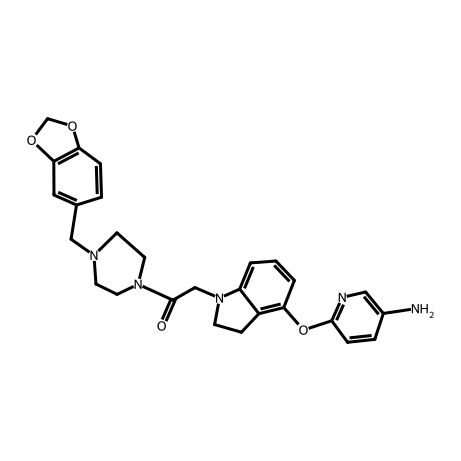 Nc1ccc(Oc2cccc3c2CCN3CC(=O)N2CCN(Cc3ccc4c(c3)OCO4)CC2)nc1